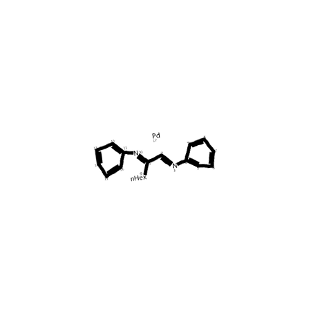 CCCCCCC(/C=N/c1ccccc1)=N\c1ccccc1.[Pd]